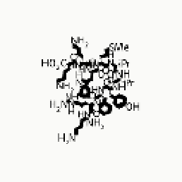 CSCCC[C@@H](NC(=O)[C@@H](Cc1c[nH]c2ccccc12)NC(=O)[C@@H](CCCCN)NC(=O)[C@@H](CCCCN)C(=O)O)C(=O)N[C@@H](C(=O)N[C@@H](C(=O)N[C@H](Cc1ccc(O)cc1)C(=O)N[C@H](Cc1ccccc1)C(=O)N[C@H](CCCNC(=N)N)C(=O)N[C@@H](N)CCCCN)C(C)C)C(C)C